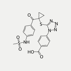 CS(=O)(=O)Nc1ccc(C(=O)C2(Sc3nnnn3-c3ccc(C(=O)O)cc3)CC2)cc1